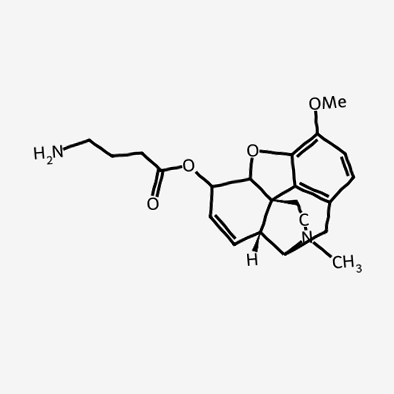 COc1ccc2c3c1OC1C(OC(=O)CCCN)C=C[C@H]4C(C2)N(C)CC[C@]314